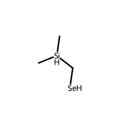 C[SiH](C)C[SeH]